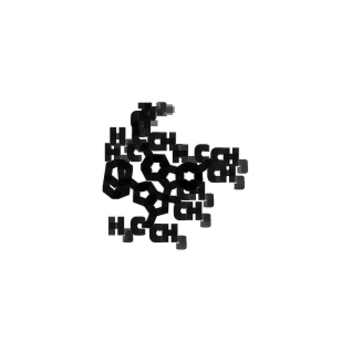 CC(C)C1CC(C(C)C)(C2c3ccc(C(C)(C)C)cc3-c3cc(C(C)(C)C)ccc32)C2=C1CC(C13CC4CC(CC(C4)C1)C3)=C2.[Cl-].[Cl-].[Zr+2]